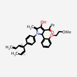 C=C/C=C(\C=C/C)c1ccc(N2C(=C)C(O)=C(C(=O)C(C)C)C2c2ccccc2OCCOC)cc1